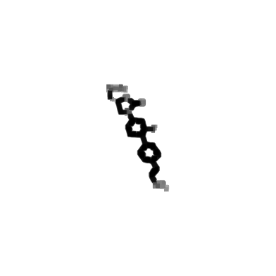 CC(=O)NC[C@H]1CN(c2ccc(-c3ccc(/C=C/[N+](=O)[O-])cc3)c(F)c2)C(=O)O1